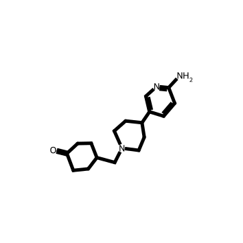 Nc1ccc(C2CCN(CC3CCC(=O)CC3)CC2)cn1